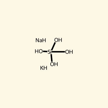 O[Si](O)(O)O.[KH].[NaH]